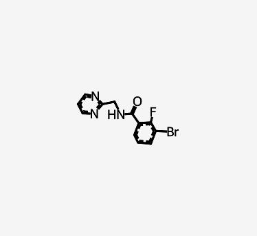 O=C(NCc1ncccn1)c1cccc(Br)c1F